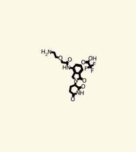 NCCOCC(=O)Nc1cccc2c1CN(C1CCC(=O)NC1=O)C2=O.O=C(O)C(F)(F)F